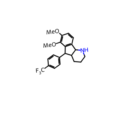 COc1ccc2c(c1OC)C(c1ccc(C(F)(F)F)cc1)C1CCCNC21